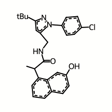 CC(C(=O)NCc1cc(C(C)(C)C)nn1-c1ccc(Cl)cc1)c1cccc2ccc(O)cc12